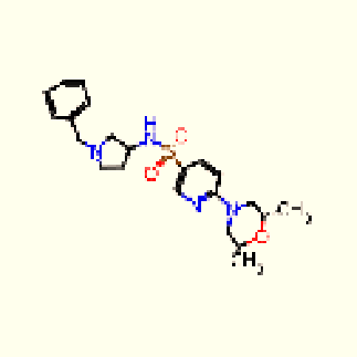 C[C@@H]1CN(c2ccc(S(=O)(=O)NC3CCN(Cc4ccccc4)C3)cn2)C[C@H](C)O1